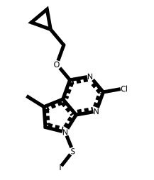 Cc1cn(SI)c2nc(Cl)nc(OCC3CC3)c12